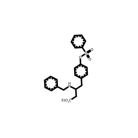 CCOC(=O)CC(Cc1ccc(OS(=O)(=O)c2ccccc2)cc1)NCc1ccccc1